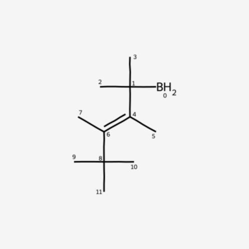 BC(C)(C)/C(C)=C(\C)C(C)(C)C